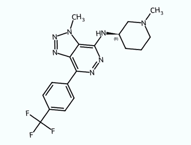 CN1CCC[C@@H](Nc2nnc(-c3ccc(C(F)(F)F)cc3)c3nnn(C)c23)C1